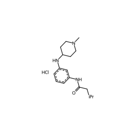 CC(C)CC(=O)Nc1cccc(NC2CCN(C)CC2)c1.Cl